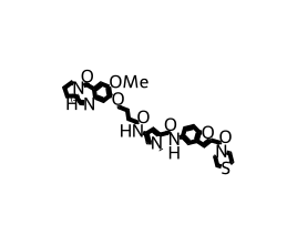 COc1cc2c(cc1OCCCC(=O)Nc1cc(C(=O)Nc3ccc4oc(C(=O)N5CCSCC5)cc4c3)n(C)c1)N=C[C@@H]1CCCN1C2=O